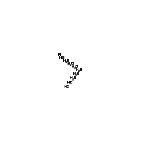 Cl.Cl.Cl.O.O.O.O.O.O.[Ni]